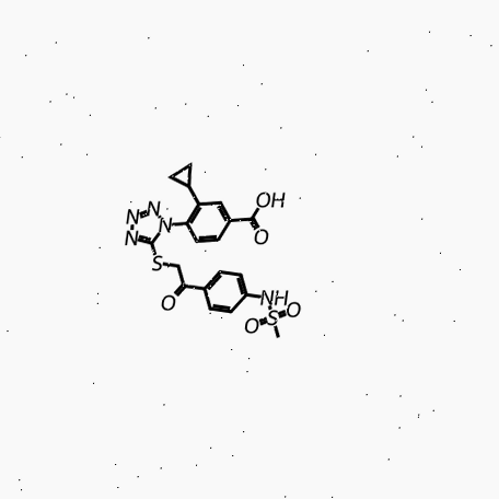 CS(=O)(=O)Nc1ccc(C(=O)CSc2nnnn2-c2ccc(C(=O)O)cc2C2CC2)cc1